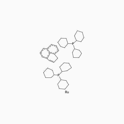 C1=Cc2cccc3cccc(c23)C1.C1CCC(P(C2CCCCC2)C2CCCCC2)CC1.C1CCC(P(C2CCCCC2)C2CCCCC2)CC1.[Ru]